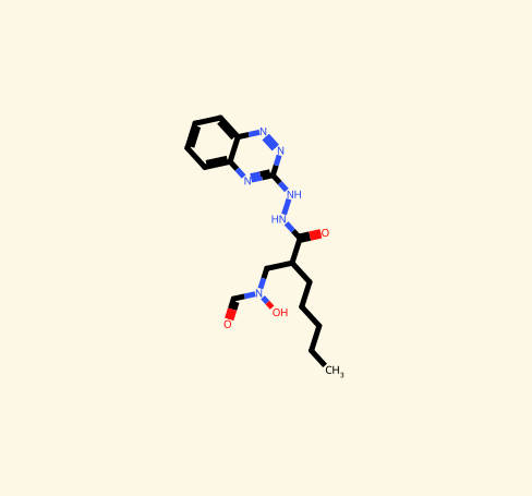 CCCCCC(CN(O)C=O)C(=O)NNc1nnc2ccccc2n1